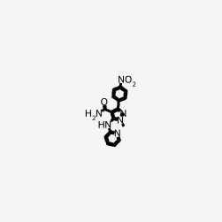 Cn1nc(-c2ccc([N+](=O)[O-])cc2)c(C(N)=O)c1Nc1ccccn1